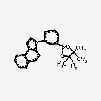 CC1(C)OB(c2cccc(-n3ccc4c5ccccc5ccc43)c2)OC1(C)C